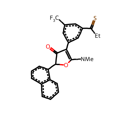 CCC(=S)c1cc(C2=C(NC)OC(c3cccc4ccccc34)C2=O)cc(C(F)(F)F)c1